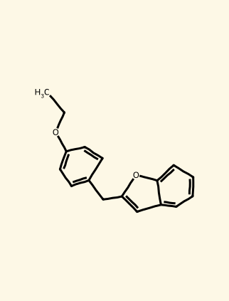 CCOc1ccc(Cc2cc3ccccc3o2)cc1